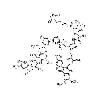 COc1cc2c(=O)n(CCN(C)C(=O)OCc3ccc(NC(=O)[C@H](C)NC(=O)C(NC(=O)CCCCCN4C(=O)C=CC4=O)C(C)C)cc3CN(C)C(=O)CN(C)C(=O)CN(C)C(=O)CN(C)C(=O)CN(C)C(=O)CN(C)C(=O)CN(C)C(=O)CN(C)C(=O)CN(C)C(=O)CN(C)C(=O)CN(C)C(C)=O)c3c4cc5c(cc4ncc3c2cc1OC)OCO5